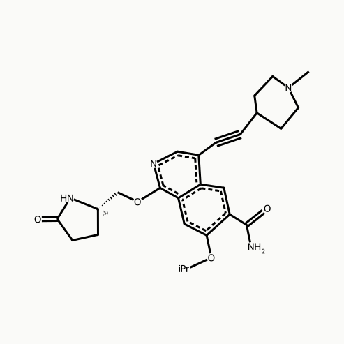 CC(C)Oc1cc2c(OC[C@@H]3CCC(=O)N3)ncc(C#CC3CCN(C)CC3)c2cc1C(N)=O